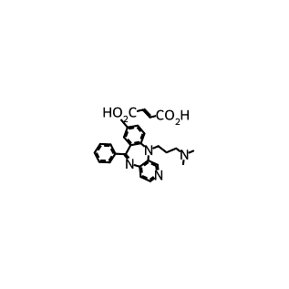 Cc1ccc2c(c1)C(c1ccccc1)=Nc1ccncc1N2CCCN(C)C.O=C(O)C=CC(=O)O